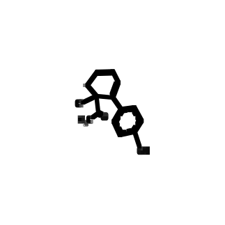 CC(=O)C1(Cl)[CH]C=CC=C1c1ccc(O)cc1